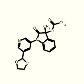 CC(=O)OC1(C)C(=O)N(c2cncc(C3OCCO3)c2)c2ccccc21